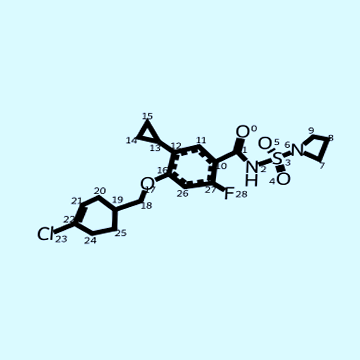 O=C(NS(=O)(=O)N1CCC1)c1cc(C2CC2)c(OCC2CC=C(Cl)CC2)cc1F